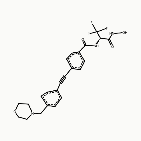 O=C(N[C@H](C(=O)NO)C(F)(F)F)c1ccc(C#Cc2ccc(CN3CCOCC3)cc2)cc1